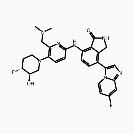 CN(C)Cc1nc(Nc2ccc(-c3cnc4cc(F)ccn34)c3c2C(=O)NC3)ccc1N1CC[C@@H](F)[C@H](O)C1